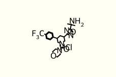 CC(C)(N)c1nc(C2CC(c3ccc(C(F)(F)F)cc3)CN(C(=O)N3CCOCC3)C2)no1.Cl